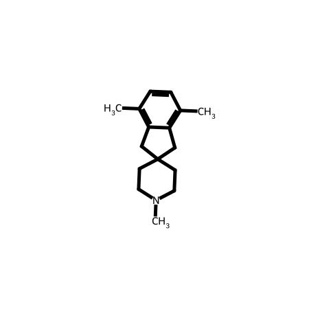 Cc1ccc(C)c2c1CC1(CCN(C)CC1)C2